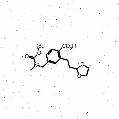 CN(Cc1ccc(C(=O)O)c(CCC2OCCO2)c1)C(=O)OC(C)(C)C